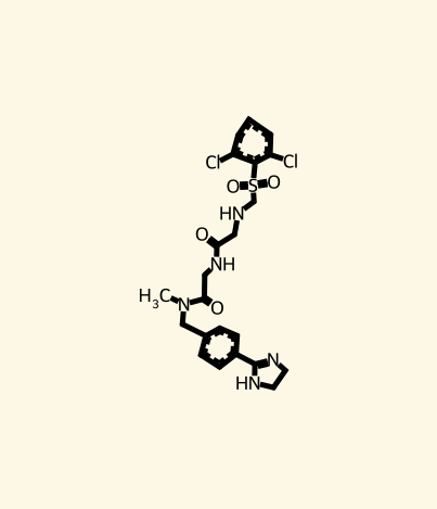 CN(Cc1ccc(C2=NCCN2)cc1)C(=O)CNC(=O)CNCS(=O)(=O)c1c(Cl)cccc1Cl